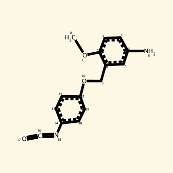 COc1ccc(N)cc1COc1ccc(N=C=O)cc1